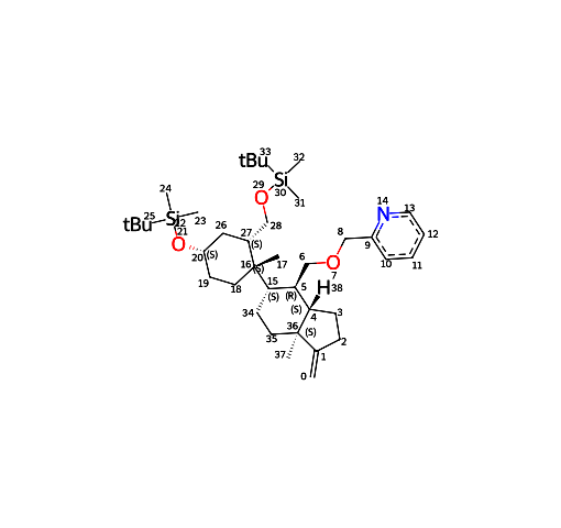 C=C1CC[C@H]2[C@H](COCc3ccccn3)[C@@H]([C@]3(C)CC[C@H](O[Si](C)(C)C(C)(C)C)C[C@@H]3CO[Si](C)(C)C(C)(C)C)CC[C@]12C